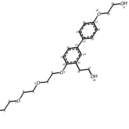 OCCOCCOCCOc1ccc(-c2ccc(OCCO)cc2)cc1CCO